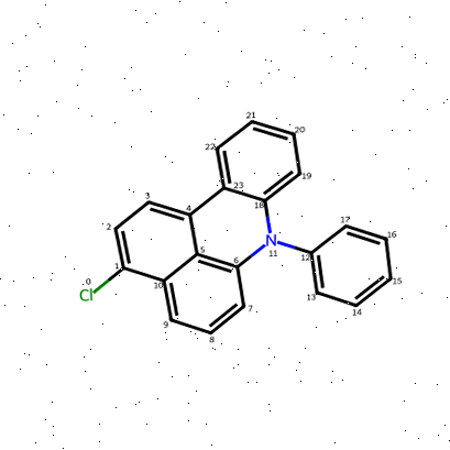 Clc1ccc2c3c(cccc13)N(c1ccccc1)c1ccccc1-2